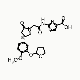 COc1ccc([C@@H]2CC(=O)N(CC(=O)Nc3nc(C(=O)O)cs3)C2)cc1OC1CCCO1